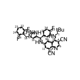 CC(C)(C)CNc1c(C#N)cnc2c(C#N)cc(NC(C3=CN(Cc4c(F)cccc4F)NN3)c3ccc(F)cc3)cc12